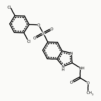 COC(=O)Nc1nc2cc(S(=O)(=O)Oc3cc(Cl)ccc3Cl)ccc2[nH]1